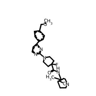 COCc1ccc(-c2ccnc(N3CCC(F)(C(=O)NC4(C)CCN5CCC4CC5)CC3)n2)cc1